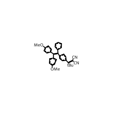 COc1ccc(C(=C(c2ccccc2)c2ccc(C(=C(C#N)C#N)C(C)(C)C)cc2)c2ccc(OC)cc2)cc1